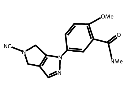 CNC(=O)c1cc(-n2ncc3c2CN(C#N)C3)ccc1OC